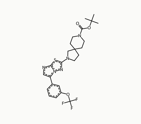 CC(C)(C)OC(=O)N1CCC2(CC1)CCN(c1nn3c(-c4cccc(OC(F)(F)F)c4)cnc3s1)C2